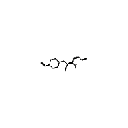 C=C/C=C\C(F)=C(\F)CC1CCC(C=C)CC1